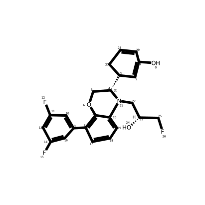 OC1=CC([C@H]2COc3c(-c4cc(F)cc(F)c4)cccc3N2C[C@@H](O)CF)CC=C1